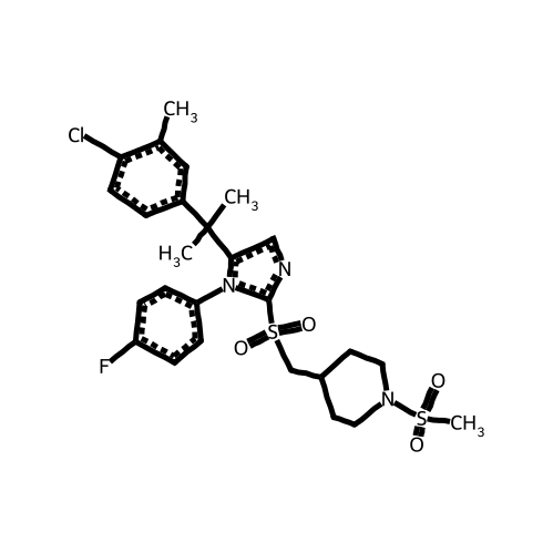 Cc1cc(C(C)(C)c2cnc(S(=O)(=O)CC3CCN(S(C)(=O)=O)CC3)n2-c2ccc(F)cc2)ccc1Cl